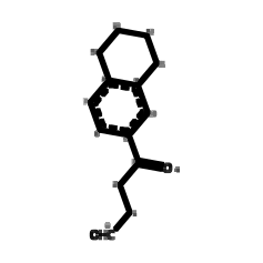 O=CCCC(=O)c1ccc2c(c1)CCCC2